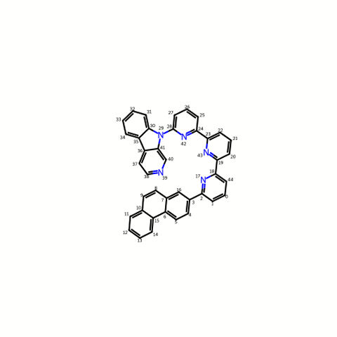 c1cc(-c2ccc3c(ccc4ccccc43)c2)nc(-c2cccc(-c3cccc(-n4c5ccccc5c5ccncc54)n3)n2)c1